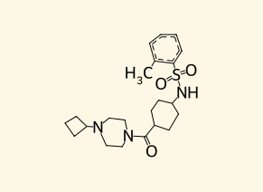 Cc1ccccc1S(=O)(=O)NC1CCC(C(=O)N2CCN(C3CCC3)CC2)CC1